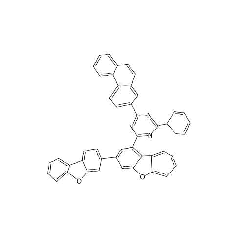 C1=CCC(c2nc(-c3ccc4c(ccc5ccccc54)c3)nc(-c3cc(-c4ccc5c(c4)oc4ccccc45)cc4oc5ccccc5c34)n2)C=C1